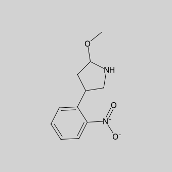 COC1CC(c2ccccc2[N+](=O)[O-])CN1